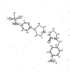 CS(=O)(=O)Nc1ccc(C2CCN([C@@H]3CCN(Cc4ccc([N+](=O)[O-])cc4)C3=O)CC2)cc1